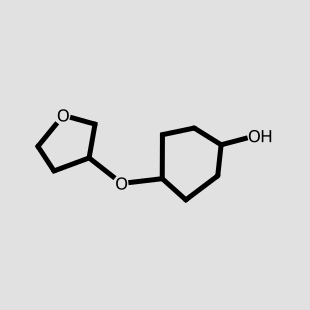 OC1CCC(OC2CCOC2)CC1